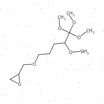 COC(OC)(OC)C(CCCOCC1CO1)O[SiH3]